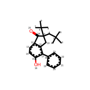 CC(C)(C)CC1(C(C)(C)C)Cc2c(ccc(O)c2-c2ccccc2)C1=O